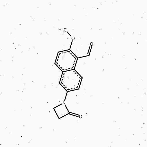 COc1ccc2cc(N3CCC3=O)ccc2c1C=O